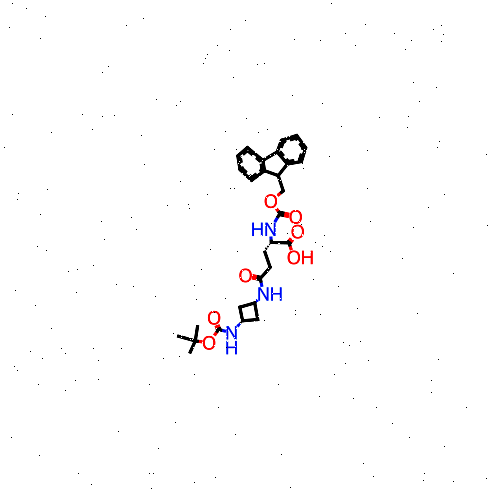 CC(C)(C)OC(=O)N[C@H]1C[C@@H](NC(=O)CC[C@H](NC(=O)OCC2c3ccccc3-c3ccccc32)C(=O)O)C1